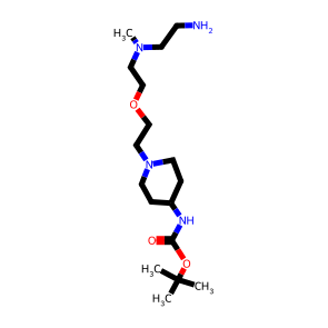 CN(CCN)CCOCCN1CCC(NC(=O)OC(C)(C)C)CC1